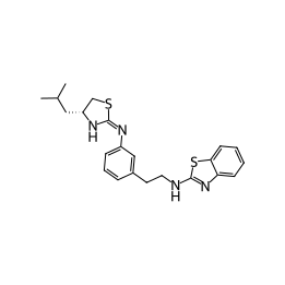 CC(C)C[C@@H]1CS/C(=N/c2cccc(CCNc3nc4ccccc4s3)c2)N1